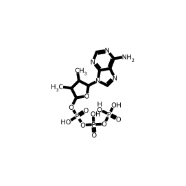 CC1C(OP(=O)(O)OP(=O)(O)OP(=O)(O)O)OC(n2cnc3c(N)ncnc32)C1C